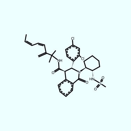 C=C(/C=C\C=C/C)C(C)(C)NC(=O)[C@@H]1c2ccccc2C(=O)N([C@H]2CCCC[C@@H]2NS(C)(=O)=O)[C@H]1c1ccc(Cl)cc1Cl